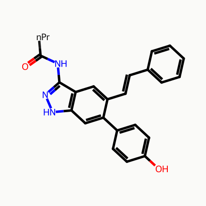 CCCC(=O)Nc1n[nH]c2cc(-c3ccc(O)cc3)c(C=Cc3ccccc3)cc12